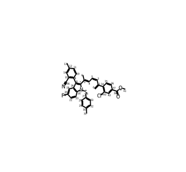 C=C(/C=C\C=C(/C)c1c(-c2ccc(C)cc2C#N)c2cc(F)ccc2n1Sc1ccc(C)cc1)c1ccc(C(=O)OC)cc1Cl